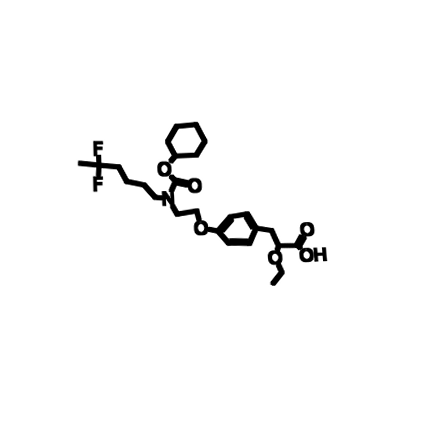 CCOC(Cc1ccc(OCCN(CCCCC(C)(F)F)C(=O)OC2CCCCC2)cc1)C(=O)O